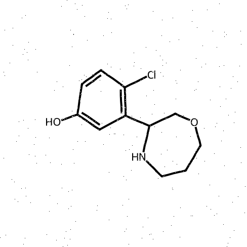 Oc1ccc(Cl)c(C2COCCCN2)c1